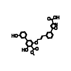 COC(=O)c1c(O)cc(-c2cccc(O)c2)cc1OC/C=C/c1cccc(-c2cc(C(=O)O)no2)c1